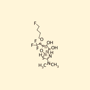 CN(C)C1=N[C@@H]2[C@@H](O)[C@H](O)[C@@H]([C@@H](OCCCCF)C(F)(F)F)O[C@@H]2S1